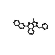 Cc1nn(Cc2ccccc2)c2c1nc(-c1ccc3ccccc3c1)c1ccccc12